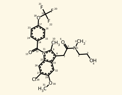 [CH2]N(CCO)C(=O)Cc1c(C)n(C(=O)c2ccc(OC(F)(F)F)cc2)c2cc(Cl)c(OC)cc12